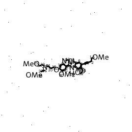 COCCC#Cc1cc(Cl)c(Nc2ncnc3cc(OCCCN(CCOC)CCOC)c(OC)cc23)c2c1OCO2